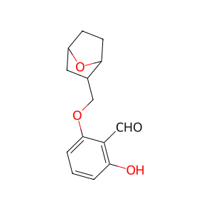 O=Cc1c(O)cccc1OCC1CC2CCC1O2